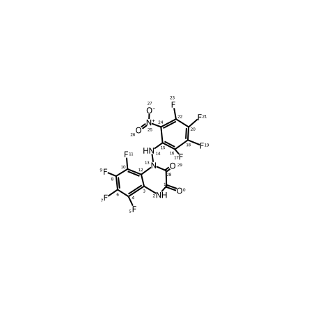 O=c1[nH]c2c(F)c(F)c(F)c(F)c2n(Nc2c(F)c(F)c(F)c(F)c2[N+](=O)[O-])c1=O